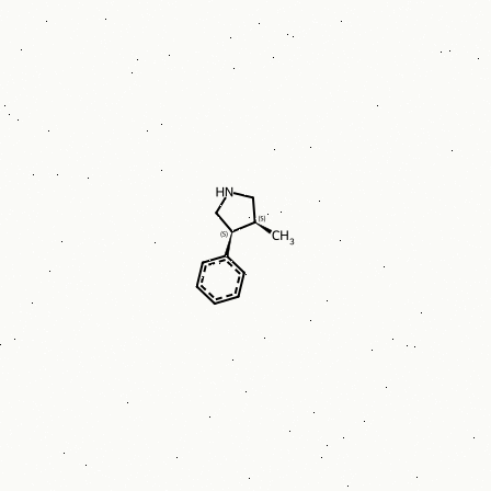 C[C@@H]1CNC[C@@H]1c1ccccc1